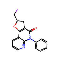 O=c1c2c(c3cccnc3n1-c1ccccc1)OC(CI)C2